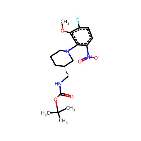 COc1c(F)ccc([N+](=O)[O-])c1N1CCC[C@@H](CNC(=O)OC(C)(C)C)C1